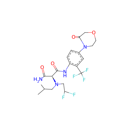 CC(C)CN(CC(F)F)[C@@H](C(N)=O)C(=O)Nc1ccc(N2CCOCC2=O)cc1C(F)(F)F